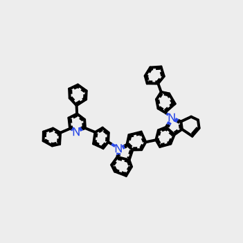 C1=Cc2c(n(-c3ccc(-c4ccccc4)cc3)c3cc(-c4ccc5c(c4)c4ccccc4n5-c4ccc(-c5cc(-c6ccccc6)cc(-c6ccccc6)n5)cc4)ccc23)CC1